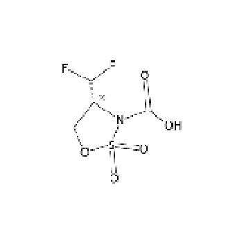 O=C(O)N1[C@@H](C(F)F)COS1(=O)=O